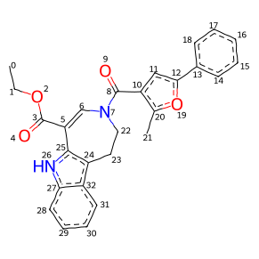 CCOC(=O)C1=CN(C(=O)c2cc(-c3ccccc3)oc2C)CCc2c1[nH]c1ccccc21